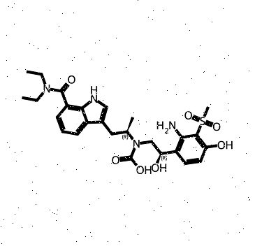 CCN(CC)C(=O)c1cccc2c(C[C@@H](C)N(C[C@H](O)c3ccc(O)c(S(C)(=O)=O)c3N)C(=O)O)c[nH]c12